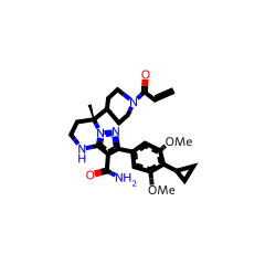 C=CC(=O)N1CCC([C@@]2(C)CCNc3c(C(N)=O)c(-c4cc(OC)c(C5CC5)c(OC)c4)nn32)CC1